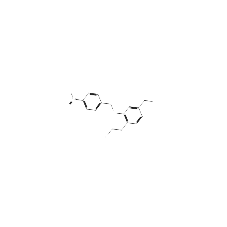 CCc1ccc(CCBr)c(OCc2ccc([N+](=O)[O-])cc2)c1